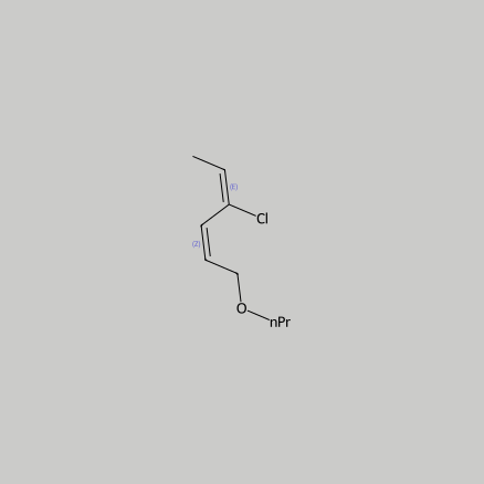 C/C=C(Cl)\C=C/COCCC